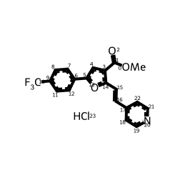 COC(=O)c1cc(-c2ccc(C(F)(F)F)cc2)oc1C=Cc1ccncc1.Cl